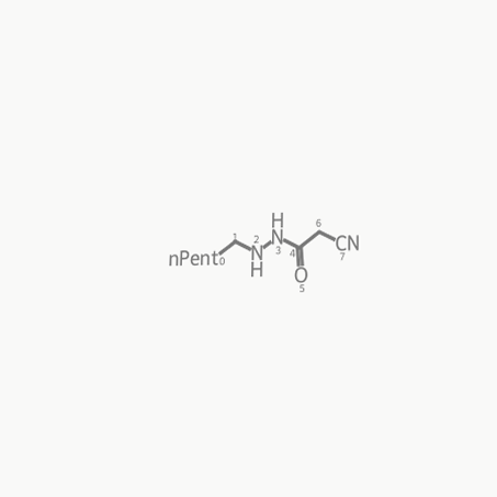 CCCCCCNNC(=O)CC#N